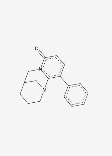 O=c1ccc(-c2ccccc2)c2n1CC1CCCN2C1